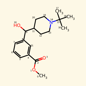 COC(=O)c1cccc(C(O)C2CCN(C(C)(C)C)CC2)c1